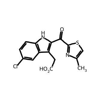 Cc1csc(C(=O)c2[nH]c3ccc(Cl)cc3c2CC(=O)O)n1